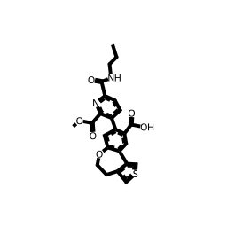 CCCNC(=O)c1ccc(-c2cc3c(cc2C(=O)O)-c2cscc2CCO3)c(C(=O)OC)n1